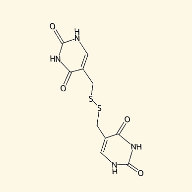 O=c1[nH]cc(CSSCc2c[nH]c(=O)[nH]c2=O)c(=O)[nH]1